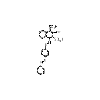 O=S(=O)(O)c1c(O)c(S(=O)(=O)O)c2ccccc2c1N=Nc1ccc(N=Nc2ccccc2)cc1